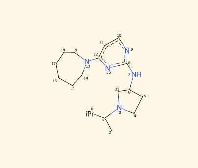 CC(C)C(C)N1CCC(Nc2nccc(N3CCCCCC3)n2)C1